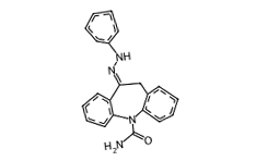 NC(=O)N1c2ccccc2CC(=NNc2ccccc2)c2ccccc21